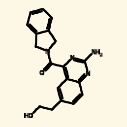 Nc1nc(C(=O)N2Cc3ccccc3C2)c2cc(CCO)ccc2n1